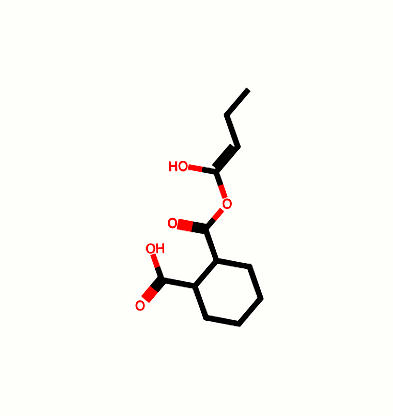 CCC=C(O)OC(=O)C1CCCCC1C(=O)O